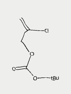 C=C(Cl)COC(=O)OC(C)(C)C